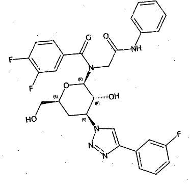 O=C(CN(C(=O)c1ccc(F)c(F)c1)[C@@H]1O[C@H](CO)C[C@H](n2cc(-c3cccc(F)c3)nn2)[C@H]1O)Nc1ccccc1